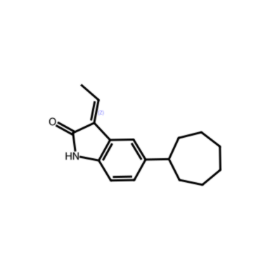 C/C=C1\C(=O)Nc2ccc(C3CCCCCC3)cc21